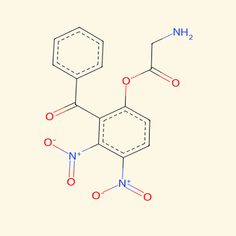 NCC(=O)Oc1ccc([N+](=O)[O-])c([N+](=O)[O-])c1C(=O)c1ccccc1